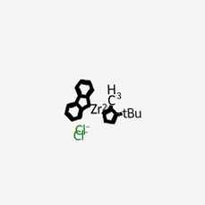 CC1=[C]([Zr+2][CH]2c3ccccc3-c3ccccc32)CC=C1C(C)(C)C.[Cl-].[Cl-]